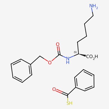 NCCCC[C@H](NC(=O)OCc1ccccc1)C(=O)O.O=C(S)c1ccccc1